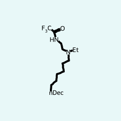 CCCCCCCCCCCCCCCCN(CC)CCNC(=O)C(F)(F)F